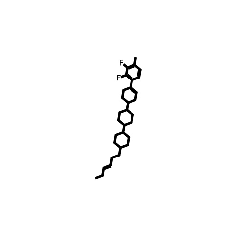 CC/C=C/CCC1CCC(C2CCC(C3CC=C(c4ccc(C)c(F)c4F)CC3)CC2)CC1